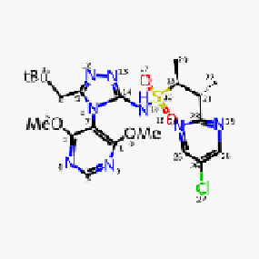 COc1ncnc(OC)c1-n1c(CC(C)(C)C)nnc1NS(=O)(=O)[C@@H](C)[C@H](C)c1ncc(Cl)cn1